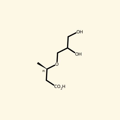 C[C@H](CC(=O)O)OCC(O)CO